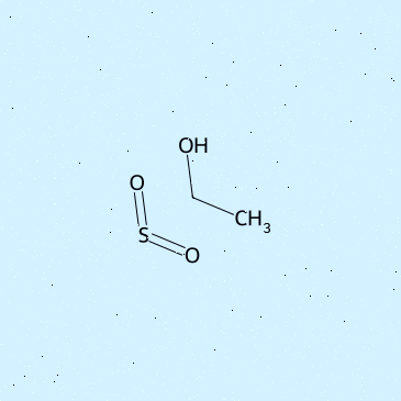 CCO.O=S=O